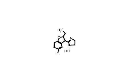 CCC1Oc2ccc(F)cc2C1C1=NCCN1.Cl